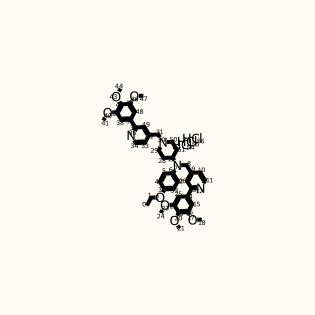 CCOc1ccc(N(Cc2ccnc(-c3cc(OC)c(OC)c(OC)c3)c2)C2CCN(Cc3ccnc(-c4cc(OC)c(OC)c(OC)c4)c3)CC2)cc1.Cl.Cl.Cl